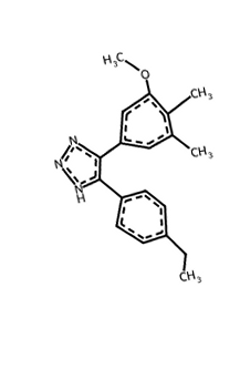 CCc1ccc(-c2[nH]nnc2-c2cc(C)c(C)c(OC)c2)cc1